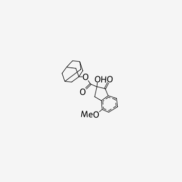 COc1cccc2c1CC(O)(C(=O)OC13CC4CC(CC(C4)C1)C3)C2=O